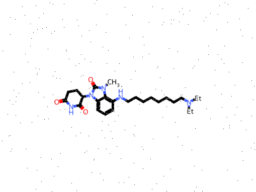 CCN(CC)CCCCCCCCNc1cccc2c1n(C)c(=O)n2C1CCC(=O)NC1=O